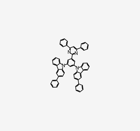 c1ccc(-c2ccc3c(c2)c2ccccc2n3-c2cc(-c3nc(-c4ccccc4)cc(-c4ccccc4)n3)cc(-n3c4ccccc4c4cc(-c5ccccc5)ccc43)c2)cc1